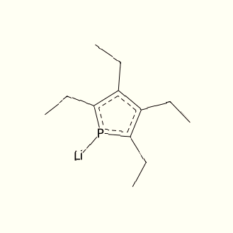 [Li][p]1c(CC)c(CC)c(CC)c1CC